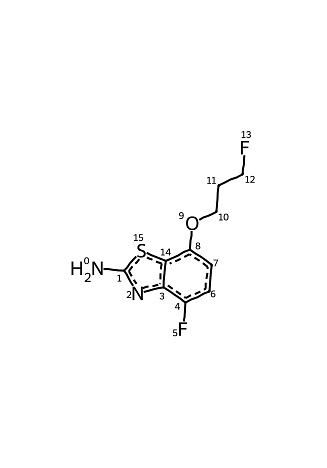 Nc1nc2c(F)ccc(OCCCF)c2s1